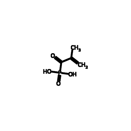 C=C(C)C(=O)P(=O)(O)O